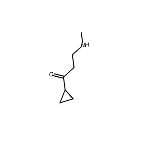 CNCCC(=O)C1CC1